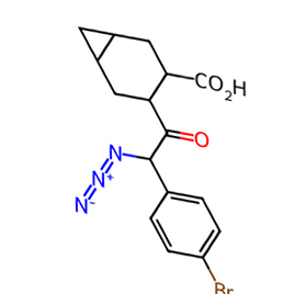 [N-]=[N+]=NC(C(=O)C1CC2CC2CC1C(=O)O)c1ccc(Br)cc1